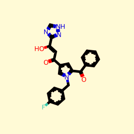 O=C(C=C(O)c1nc[nH]n1)c1cc(C(=O)c2ccccc2)n(Cc2ccc(F)cc2)c1